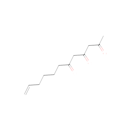 C=CCCCCC(=O)CC(=O)CC(C)=O